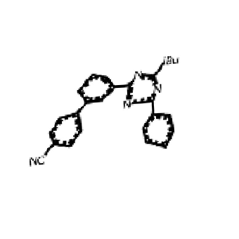 CCC(C)c1nc(-c2ccccc2)nc(-c2cccc(-c3ccc(C#N)cc3)c2)n1